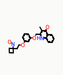 Cc1c(COc2cccc(OCCC3(N=O)CCC3)c2)[nH]c2ccccc2c1=O